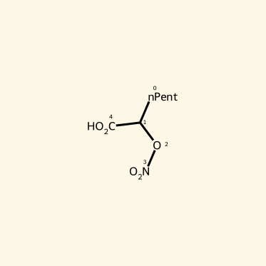 CCCCCC(O[N+](=O)[O-])C(=O)O